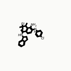 C=C(NC1CCc2ccccc21)c1ccc(Nc2ccc(Cl)cc2)c(N)c1C(C)C(C)(C)CC